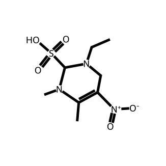 CCN1CC([N+](=O)[O-])=C(C)N(C)C1S(=O)(=O)O